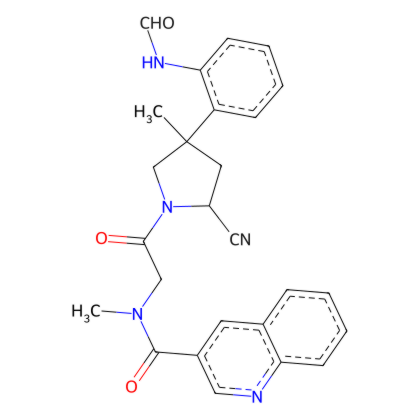 CN(CC(=O)N1CC(C)(c2ccccc2NC=O)CC1C#N)C(=O)c1cnc2ccccc2c1